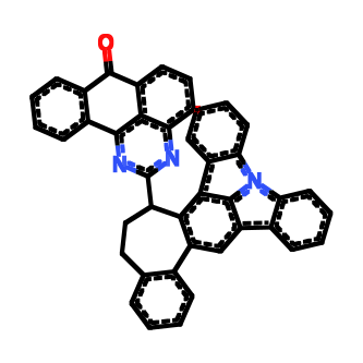 O=C1c2ccccc2-c2nc(C3CCc4ccccc4-c4cc5c6ccccc6n6c7ccccc7c(c43)c56)nc3cccc1c23